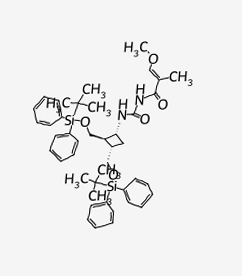 COC=C(C)C(=O)NC(=O)N[C@@H]1C[C@H](CO[Si](c2ccccc2)(c2ccccc2)C(C)(C)C)[C@H]1CO[Si](c1ccccc1)(c1ccccc1)C(C)(C)C